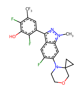 Cn1nc(-c2cc(C(F)(F)F)c(F)c(O)c2F)c2cc(F)c(N3CCOCC34CC4)cc21